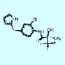 C[C@@](O)(C(=O)Nc1ccc(Sc2ncc[nH]2)cc1Cl)C(F)(F)F